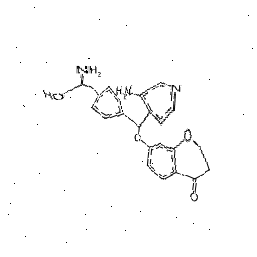 Nc1cnccc1C(Oc1ccc2c(c1)OCCC2=O)c1ccc(C(N)O)cc1